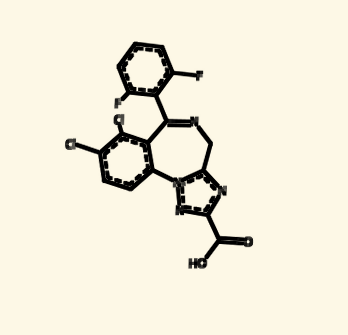 O=C(O)c1nc2n(n1)-c1ccc(Cl)c(Cl)c1C(c1c(F)cccc1F)=NC2